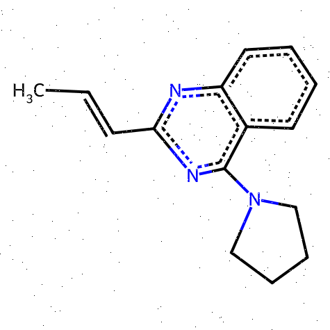 C/C=C/c1nc(N2CCCC2)c2ccccc2n1